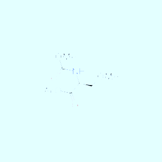 COC[C@H](NC(=O)OC)C(=O)OC(C)=O